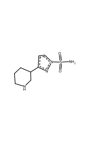 NS(=O)(=O)n1ccc(C2CCCNC2)n1